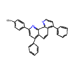 CC(C)(C)c1ccc(-c2cc(-c3ccccc3)c3ccc4c(-c5ccccc5)ccnc4c3n2)cc1